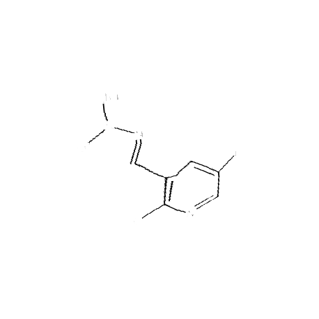 CC(C)(C)[S+]([O-])/N=C/c1cc(F)cnc1Cl